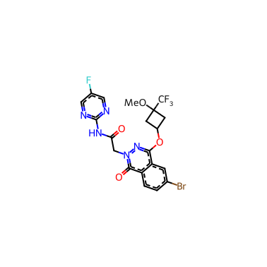 COC1(C(F)(F)F)CC(Oc2nn(CC(=O)Nc3ncc(F)cn3)c(=O)c3ccc(Br)cc23)C1